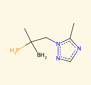 BC(C)(P)Cn1ncnc1C